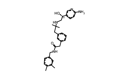 Cc1ccc(CNC(=O)Cc2cccc(CC(C)(C)NC[C@@H](O)c3ccc(N)nc3)c2)cc1C